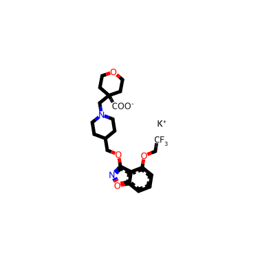 O=C([O-])C1(CN2CCC(COc3noc4cccc(OCC(F)(F)F)c34)CC2)CCOCC1.[K+]